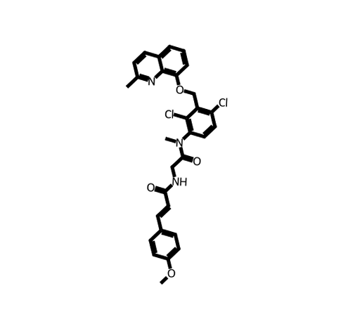 COc1ccc(C=CC(=O)NCC(=O)N(C)c2ccc(Cl)c(COc3cccc4ccc(C)nc34)c2Cl)cc1